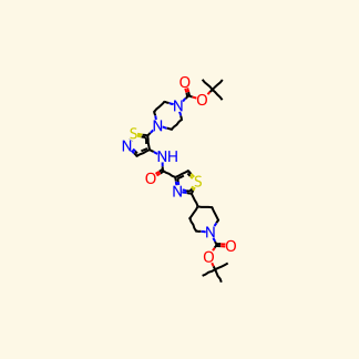 CC(C)(C)OC(=O)N1CCC(c2nc(C(=O)Nc3cnsc3N3CCN(C(=O)OC(C)(C)C)CC3)cs2)CC1